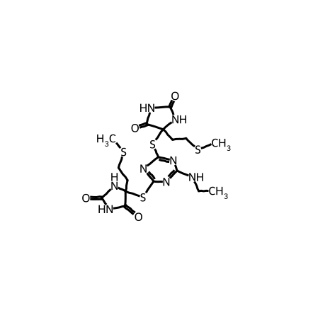 CCNc1nc(SC2(CCSC)NC(=O)NC2=O)nc(SC2(CCSC)NC(=O)NC2=O)n1